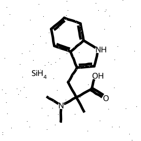 CN(C)C(C)(Cc1c[nH]c2ccccc12)C(=O)O.[SiH4]